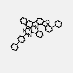 c1ccc(-c2ccc(-c3nc(-c4ccccc4)nc(-c4ccccc4-n4c5ccccc5c5ccc6oc7c(-c8ccccc8)cccc7c6c54)n3)cc2)cc1